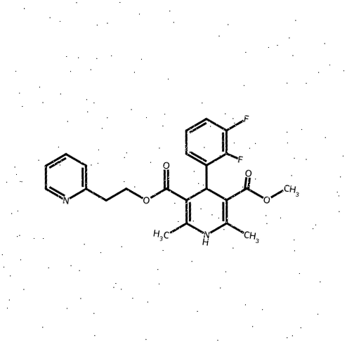 COC(=O)C1=C(C)NC(C)=C(C(=O)OCCc2ccccn2)C1c1cccc(F)c1F